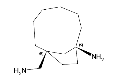 NC[C@]12CCCCCC[C@](N)(CC1)C2